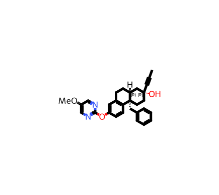 CC#C[C@@]1(O)CC[C@@]2(Cc3ccccc3)c3ccc(Oc4ncc(OC)cn4)cc3CC[C@@H]2C1